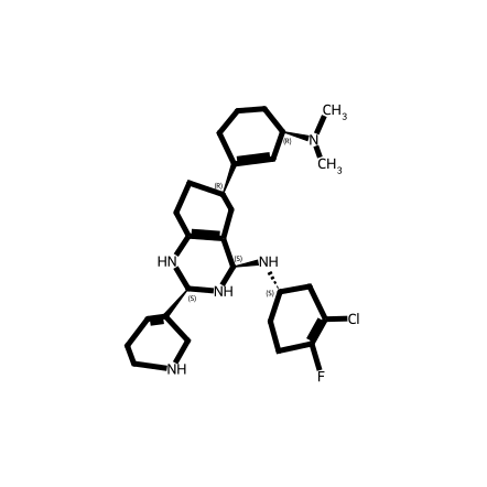 CN(C)[C@H]1C=C([C@@H]2CCC3=C(C2)[C@@H](N[C@H]2CCC(F)=C(Cl)C2)N[C@@H](C2=CCCNC2)N3)CCC1